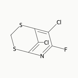 Fc1nc2c(Cl)c(c1Cl)SCS2